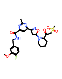 COc1cc(CNC(=O)c2cc(C3=NOC(N4CCCCC4C(=O)CS(C)(=O)=O)C3)nc(C)n2)ccc1F